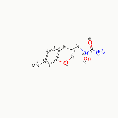 COc1ccc2c(c1)OCC(CN(O)C(N)=O)C2